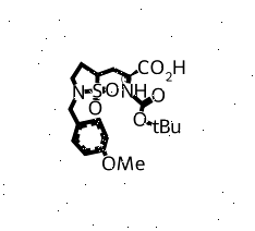 COc1ccc(CN2CCC(C[C@H](NC(=O)OC(C)(C)C)C(=O)O)S2(=O)=O)cc1